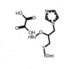 CCCCCCCCCCSCC(Cn1ccnc1)OCCCC.O=C(O)C(=O)O